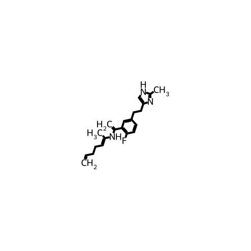 C=CCC/C=C(\C)NC(=C)c1cc(CCc2c[nH]c(C)n2)ccc1F